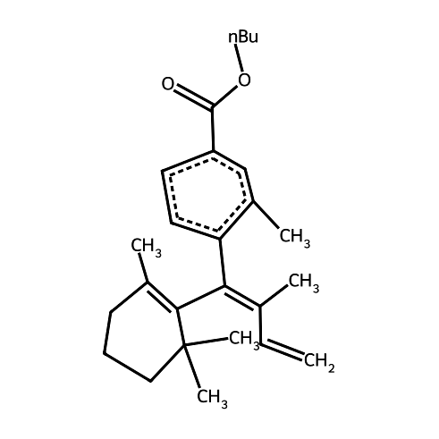 C=CC(C)=C(C1=C(C)CCCC1(C)C)c1ccc(C(=O)OCCCC)cc1C